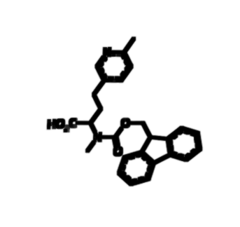 Cc1ccc(CCC(C(=O)O)N(C)C(=O)OCC2c3ccccc3-c3ccccc32)cn1